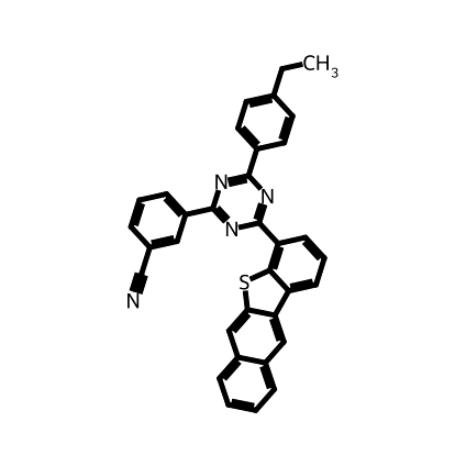 CCc1ccc(-c2nc(-c3cccc(C#N)c3)nc(-c3cccc4c3sc3cc5ccccc5cc34)n2)cc1